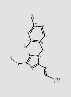 CC(C)Oc1cc(/C=C/C(=O)O)n(Cc2ccc(Cl)cc2Cl)n1